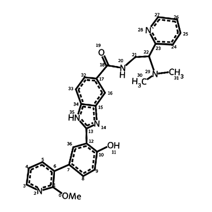 COc1ncccc1-c1ccc(O)c(-c2nc3cc(C(=O)NCC(c4ccccn4)N(C)C)ccc3[nH]2)c1